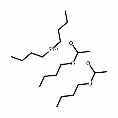 CCCCOC(C)[O-].CCCCOC(C)[O-].CCC[CH2][Sn+2][CH2]CCC